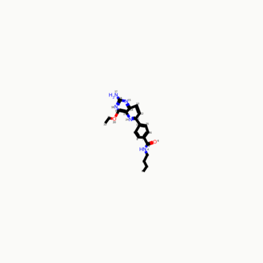 CCCCNC(=O)c1ccc(-c2ccc3nc(N)nc(OCC)c3n2)cc1